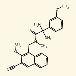 COc1cccc(C(N)(N)C(=O)N(C)Cc2c(OC)c(C#N)cc3ccccc23)c1